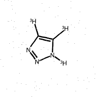 [3H]c1nnn([3H])c1[3H]